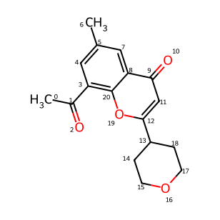 CC(=O)c1cc(C)cc2c(=O)cc(C3CCOCC3)oc12